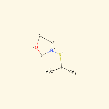 CC(C)SN1CCOC1